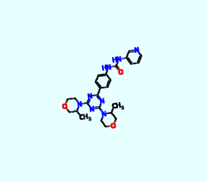 CC1COCCN1c1nc(-c2ccc(NC(=O)Nc3cccnc3)cc2)nc(N2CCOCC2C)n1